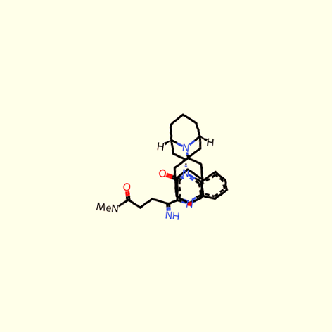 CNC(=O)CCC(=N)c1nc2ccccc2n([C@H]2C[C@H]3CCC[C@@H](C2)N3C2CC3CCCC(C3)C2)c1=O